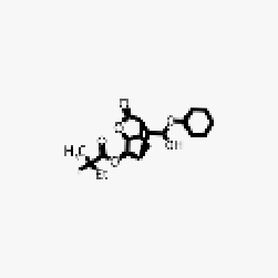 CCC(C)(I)C(=O)OC1C2CC3C1OC(=O)C3C2C(O)OC1CCCCC1